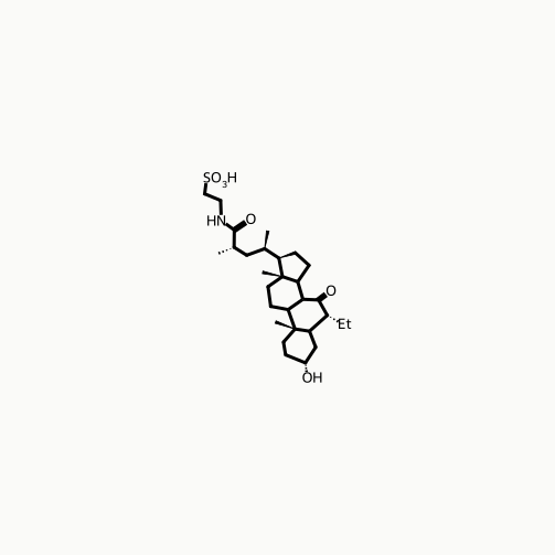 CC[C@H]1C(=O)C2C(CC[C@@]3(C)C2CC[C@@H]3[C@H](C)C[C@H](C)C(=O)NCCS(=O)(=O)O)[C@@]2(C)CC[C@@H](O)CC12